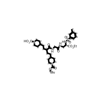 CCOC(=O)[C@H](CNC(=O)CNC(=O)C(CCC1CCN(C(=O)O)CC1)CCC1CCN(C(=O)OC(C)(C)C)CC1)NS(=O)(=O)c1cccc(C)c1